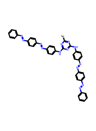 [2H]c1nc(Nc2ccc(N=Nc3ccc(N=Nc4ccccc4)cc3)cc2)nc(Nc2ccc(N=Nc3ccc(N=Nc4ccccc4)cc3)cc2)n1